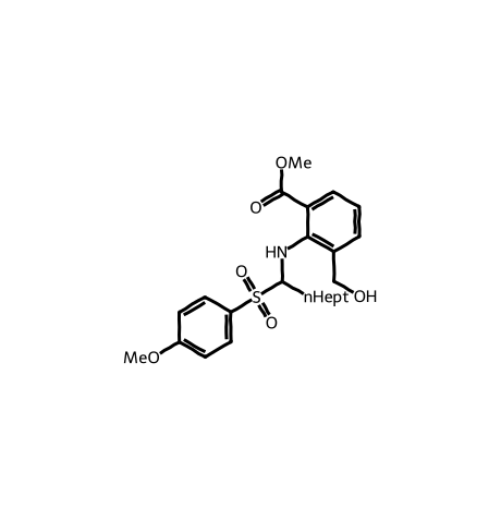 CCCCCCCC(Nc1c(CO)cccc1C(=O)OC)S(=O)(=O)c1ccc(OC)cc1